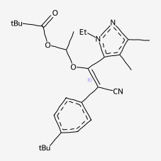 CCn1nc(C)c(C)c1/C(OC(C)OC(=O)C(C)(C)C)=C(\C#N)c1ccc(C(C)(C)C)cc1